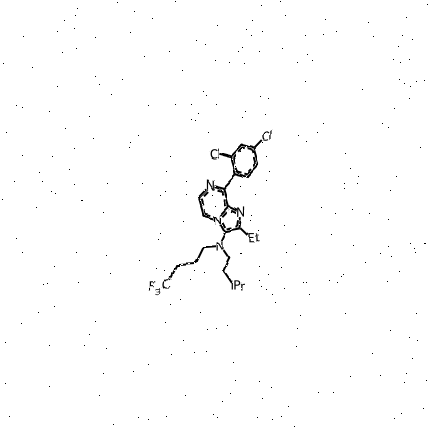 CCc1nc2c(-c3ccc(Cl)cc3Cl)nccn2c1N(CCCC(F)(F)F)CCC(C)C